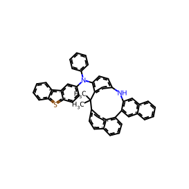 CC1(C)c2ccc3cccc(c3c2)-c2cc3ccccc3cc2Nc2ccc(N(c3ccccc3)c3ccc4sc5ccccc5c4c3)c1c2